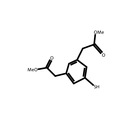 COC(=O)Cc1cc(S)cc(CC(=O)OC)c1